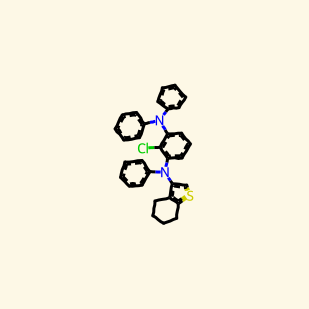 Clc1c(N(c2ccccc2)c2ccccc2)cccc1N(c1ccccc1)c1csc2c1CCCC2